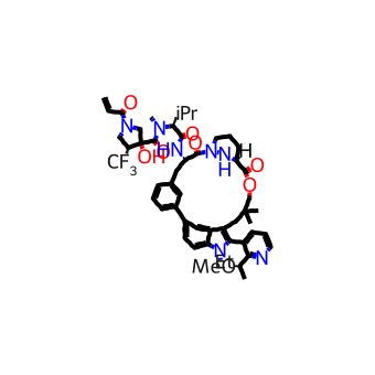 C=CC(=O)N1C[C@H](C(F)(F)F)C(O)(C(=O)N(C)[C@H](C(=O)N[C@H]2Cc3cccc(c3)-c3ccc4c(c3)c(c(-c3cccnc3[C@H](C)OC)n4CC)CC(C)(C)COC(=O)[C@@H]3CCCN(N3)C2=O)C(C)C)C1